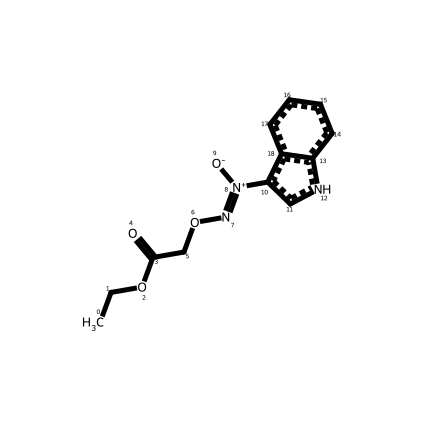 CCOC(=O)CO/N=[N+](\[O-])c1c[nH]c2ccccc12